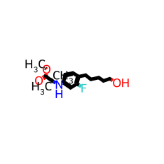 COC(=O)C(C)(C)Nc1ccc(CCCCCO)c(F)c1